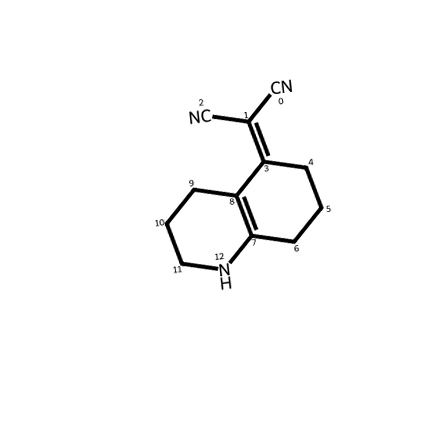 N#CC(C#N)=C1CCCC2=C1CCCN2